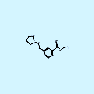 COC(=O)c1cccc(CCN2CCCC2)c1